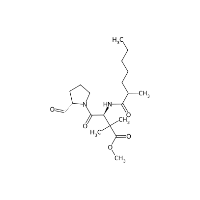 CCCCCC(C)C(=O)N[C@H](C(=O)N1CCC[C@H]1C=O)C(C)(C)C(=O)OC